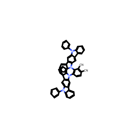 N#Cc1ccc(-n2c3ccccc3c3cc4c(cc32)c2ccccc2n4-c2ccccc2)c(-n2c3ccccc3c3cc4c(cc32)c2ccccc2n4-c2ccccc2)c1C#N